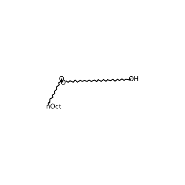 CCCCCCCCC=CCCCCCCCCCC(=O)OCCCCCCCCCCCCCCCCCCCCCCCCCCCCO